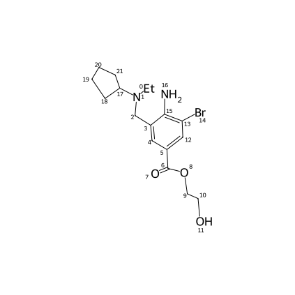 CCN(Cc1cc(C(=O)OCCO)cc(Br)c1N)C1CCCC1